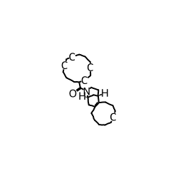 O=C(C1CCCCCCCCCCCC1)N1CC[C@H]2C[C@H]1CC1=C2CCCCCCCCC1